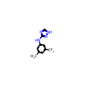 Cc1cc(Nc2nc[nH]n2)cc(C(F)(F)F)c1